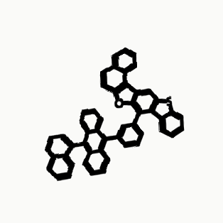 c1cc(-c2c3ccccc3c(-c3cccc4ccccc34)c3ccccc23)cc(-c2c3oc4ccc5ccccc5c4c3cc3sc4ccccc4c23)c1